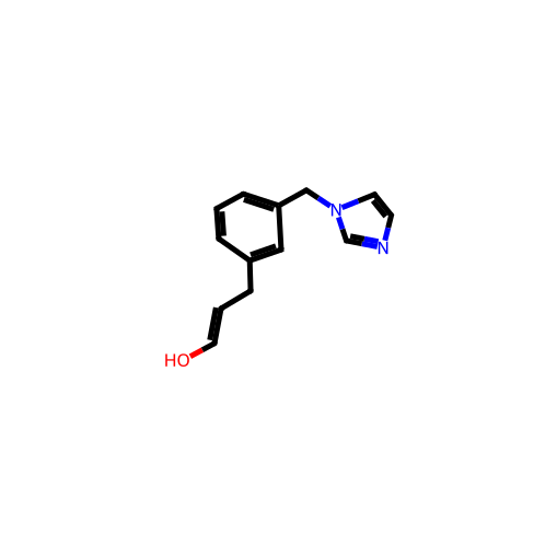 OC=CCc1cccc(Cn2ccnc2)c1